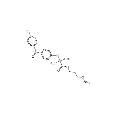 CC(C)(Oc1ccc(C(=O)c2ccc(Cl)cc2)cc1)C(=O)OCCCO[N+](=O)[O-]